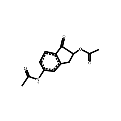 CC(=O)Nc1ccc2c(c1)CC(OC(C)=O)C2=O